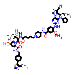 CC[C@@H]1c2c(C#N)ncn2-c2cnc(Nc3ccc(C(=O)NC4CCN(CCCCC(=O)N[C@H](C(=O)N5C[C@H](O)C[C@H]5C(=O)NCc5ccc(-c6scnc6C)cc5)C(C)(C)C)CC4)cc3OC)nc2N1C1CCCC1